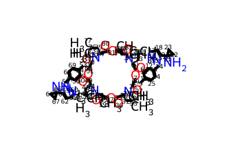 CC(C)C[C@H]1C(=O)O[C@H](Cc2ccc(Cn3nccc3C3(N)CC3)cc2)C(=O)N(C)[C@@H](CC(C)C)C(=O)O[C@H](C)C(=O)N(C)[C@@H](CC(C)C)C(=O)O[C@H](Cc2ccc(Cn3nccc3C3(N)CC3)cc2)C(=O)N(C)[C@@H](CC(C)C)C(=O)O[C@H](C)C(=O)N1C